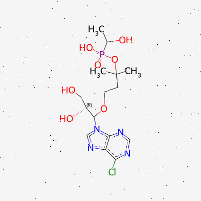 CC(O)P(=O)(O)OC(C)(C)CCOC([C@H](O)CO)n1cnc2c(Cl)ncnc21